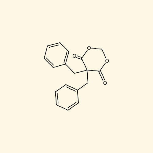 O=C1OCOC(=O)C1(Cc1ccccc1)Cc1ccccc1